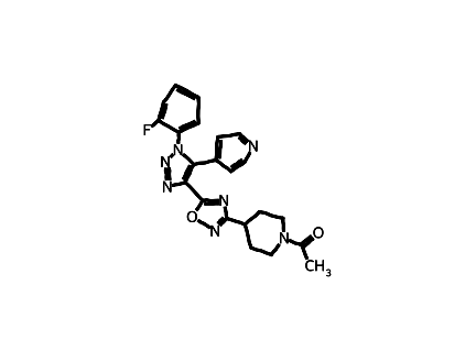 CC(=O)N1CCC(c2noc(-c3nnn(-c4ccccc4F)c3-c3ccncc3)n2)CC1